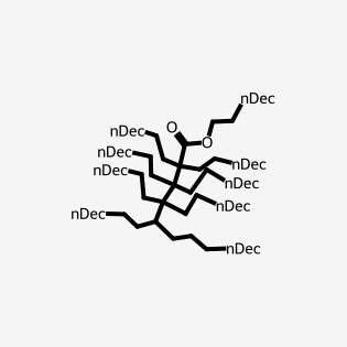 CCCCCCCCCCCCCC(CCCCCCCCCCCC)C(CCCCCCCCCCCC)(CCCCCCCCCCCC)C(CCCCCCCCCCCC)(CCCCCCCCCCCC)C(CCCCCCCCCCCC)(CCCCCCCCCCCC)C(=O)OCCCCCCCCCCCC